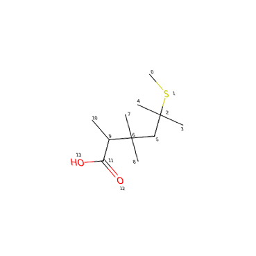 CSC(C)(C)CC(C)(C)C(C)C(=O)O